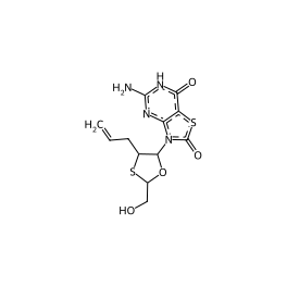 C=CCC1SC(CO)OC1n1c(=O)sc2c(=O)[nH]c(N)nc21